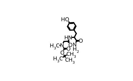 CN(CC(=O)NC(Cc1ccc(O)cc1)C(N)=O)C(=O)OC(C)(C)C